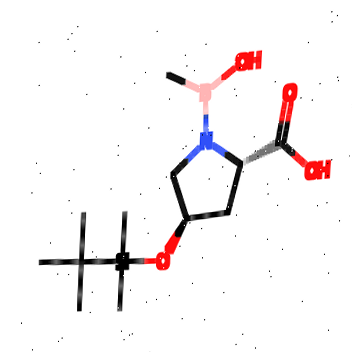 CB(O)N1C[C@H](O[Si](C)(C)C(C)(C)C)C[C@H]1C(=O)O